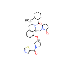 O=C(O)C1CCCCC1C(=O)N1CCc2cccc(O[C@H]3CCN(C(=O)c4cncs4)C3)c2[C@H]1CN1CCCC1=O